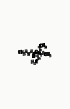 CCC[Si](CCC)(CCC)OC(=O)CCCCCl